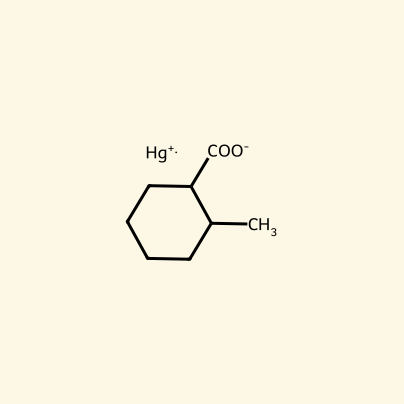 CC1CCCCC1C(=O)[O-].[Hg+]